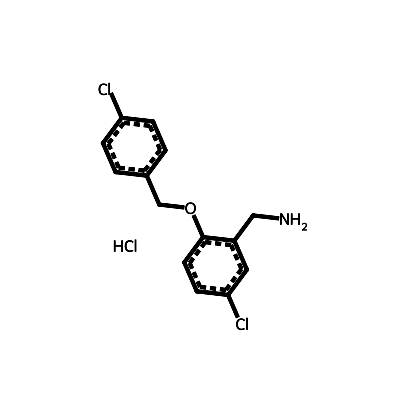 Cl.NCc1cc(Cl)ccc1OCc1ccc(Cl)cc1